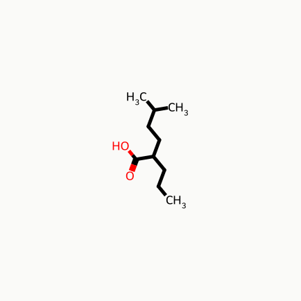 CCCC(CCC(C)C)C(=O)O